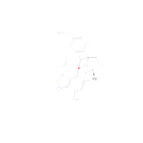 COc1cc(C)c2[nH]ccc2c1CN1[C@@H]2CCC1(c1ccc(C(=O)O)cc1)C[C@@H](OC(F)F)C2